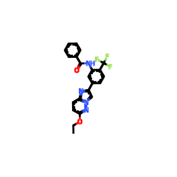 CCOc1ccc2nc(-c3ccc(C(F)(F)F)c(NC(=O)c4ccccc4)c3)cn2n1